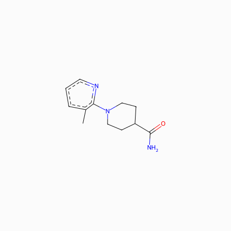 Cc1cccnc1N1CCC(C(N)=O)CC1